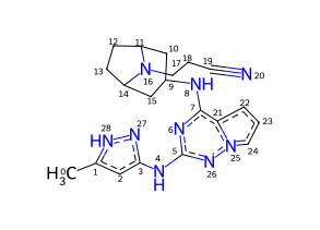 Cc1cc(Nc2nc(NC3CC4CCC(C3)N4CCC#N)c3cccn3n2)n[nH]1